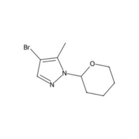 Cc1c(Br)cnn1C1CCCCO1